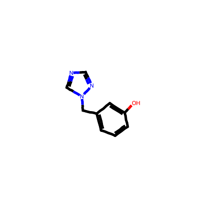 Oc1cccc(Cn2cncn2)c1